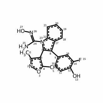 Cc1noc(C)c1-c1c(-c2ccc(O)c(F)c2)c2ccccc2n1/C(N)=N/O